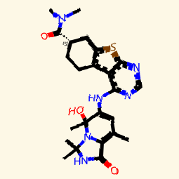 CC1=C2C(=O)NC(C)(C)N2C(C)(O)C(Nc2ncnc3sc4c(c23)CC[C@H](C(=O)N(C)C)C4)=C1